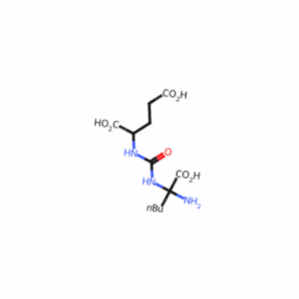 CCCCC(N)(NC(=O)NC(CCC(=O)O)C(=O)O)C(=O)O